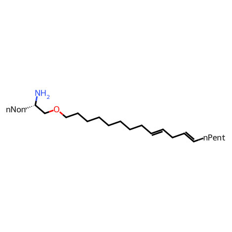 CCCCCC=CCC=CCCCCCCCCOC[C@@H](N)CCCCCCCCC